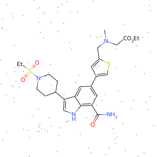 CCOC(=O)CN(C)Cc1cc(-c2cc(C(N)=O)c3[nH]cc(C4CCN(S(=O)(=O)CC)CC4)c3c2)cs1